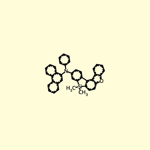 C[Si]1(C)c2cc(N(c3ccccc3)c3cc4ccccc4c4ccccc34)ccc2-c2c1ccc1oc3ccccc3c21